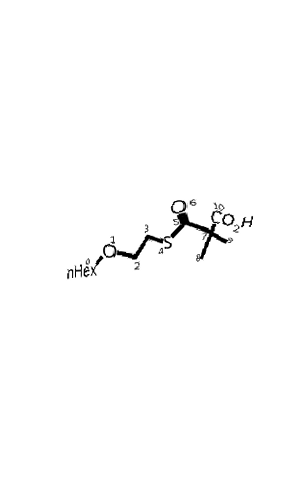 CCCCCCOCCSC(=O)C(C)(C)C(=O)O